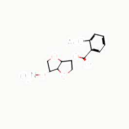 CC(=O)Oc1ccccc1C(=O)O[C@H]1COC2C1OC[C@H]2O[N+](=O)[O-]